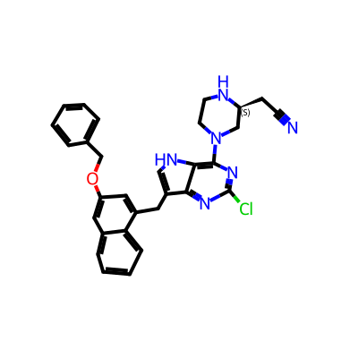 N#CC[C@H]1CN(c2nc(Cl)nc3c(Cc4cc(OCc5ccccc5)cc5ccccc45)c[nH]c23)CCN1